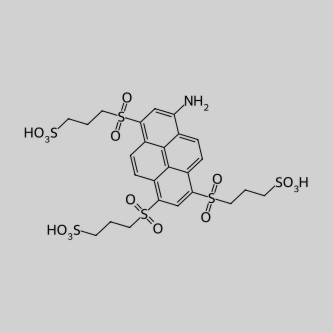 Nc1cc(S(=O)(=O)CCCS(=O)(=O)O)c2ccc3c(S(=O)(=O)CCCS(=O)(=O)O)cc(S(=O)(=O)CCCS(=O)(=O)O)c4ccc1c2c43